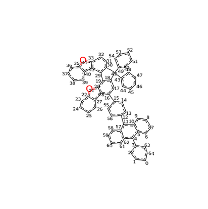 c1ccc(-c2c3ccccc3c(-c3ccc(-c4cc5c(c6oc7ccccc7c46)-c4c(ccc6oc7ccccc7c46)C5(c4ccccc4)c4ccccc4)cc3)c3ccccc23)cc1